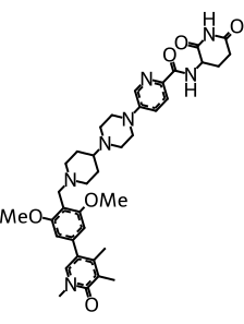 COc1cc(-c2cn(C)c(=O)c(C)c2C)cc(OC)c1CN1CCC(N2CCN(c3ccc(C(=O)NC4CCC(=O)NC4=O)nc3)CC2)CC1